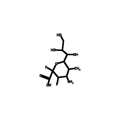 CC1C(N)C(F)C(F)(C(=O)O)OC1C(O)C(O)CO